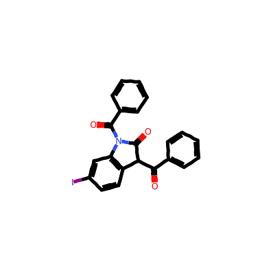 O=C(c1ccccc1)C1C(=O)N(C(=O)c2ccccc2)c2cc(I)ccc21